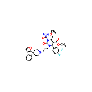 COCC1=C(C(=O)OC)C(c2ccc(F)c(F)c2)N(CCCN2CCC(c3ccccc3)(c3ccco3)CC2)C(=O)N1C(N)=O